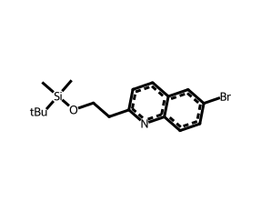 CC(C)(C)[Si](C)(C)OCCc1ccc2cc(Br)ccc2n1